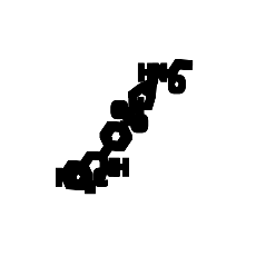 C=CC(=O)NC1C2CN(S(=O)(=O)c3ccc(C(Cc4ccccc4)NC(=O)O)cc3)CC21